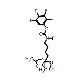 CO[Si](CCCCN(F)C(=O)Oc1cc(F)c(F)c(F)c1F)(OC)OC(C)C